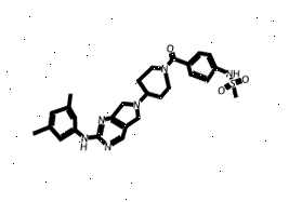 Cc1cc(C)cc(Nc2ncc3c(n2)CN(C2CCN(C(=O)c4ccc(NS(C)(=O)=O)cc4)CC2)C3)c1